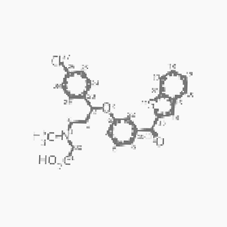 CN(CCC(Oc1cccc(C(=O)c2cc3ccccc3s2)c1)c1ccc(Cl)cc1)CC(=O)O